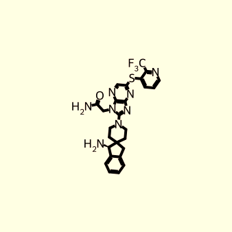 NC(=O)Cn1c(N2CCC3(CC2)Cc2ccccc2[C@H]3N)nc2nc(Sc3cccnc3C(F)(F)F)cnc21